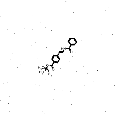 CC(C)(C)OC(=O)c1ccc(C=CNC(=O)c2ccccc2)cc1